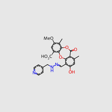 COc1cc(C(=O)O)c2c(c1C)OC(=O)c1c(C)cc(O)c(C=NNCc3ccncc3)c1O2